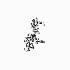 COC[C@]12C[C@@H]1[C@@H](n1cnc3c(N)ncnc31)[C@H](O)[C@@H]2OP(=O)(OC[C@H]1O[C@@H](n2cnc3c(=O)[nH]c(N)nc32)C[C@@H]1C)SCOC(=O)C(C)(C)C